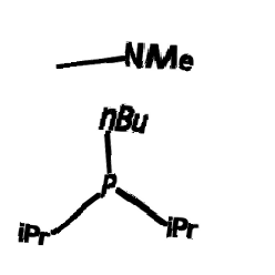 CCCCP(C(C)C)C(C)C.CNC